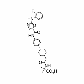 CC(C)(NC(=O)C[C@H]1CC[C@H](c2ccc(NC(=O)c3nnc(Nc4ccccc4F)o3)cc2)CC1)C(=O)O